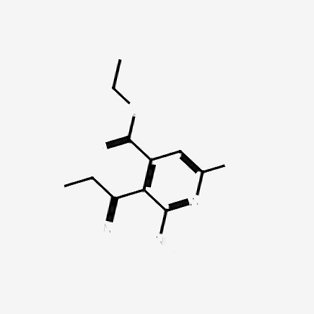 CCOC(=O)c1cc(O)nc(N)c1C(=N)CC